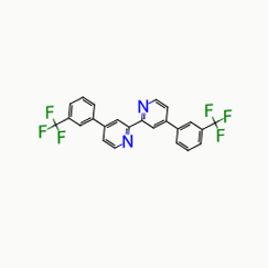 FC(F)(F)c1cccc(-c2ccnc(-c3cc(-c4cccc(C(F)(F)F)c4)ccn3)c2)c1